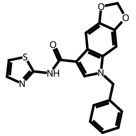 O=C(Nc1nccs1)c1cn(Cc2ccccc2)c2cc3c(cc12)OCO3